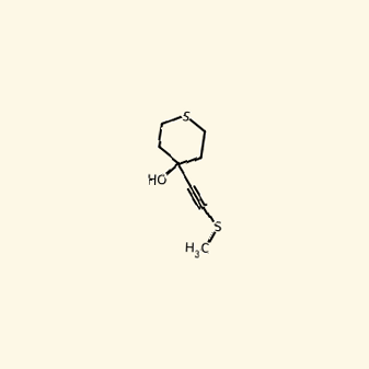 CSC#CC1(O)CCSCC1